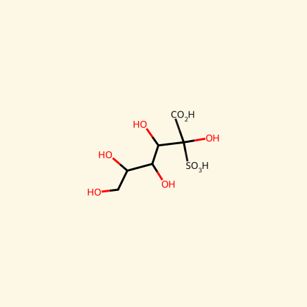 O=C(O)C(O)(C(O)C(O)C(O)CO)S(=O)(=O)O